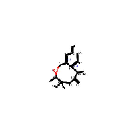 C=C/C=C1/COC(C)C(C)(C)CC(=C)C(C)/C1=C/C